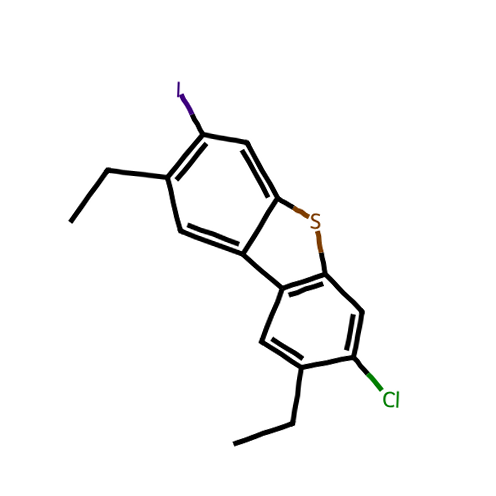 CCc1cc2c(cc1Cl)sc1cc(I)c(CC)cc12